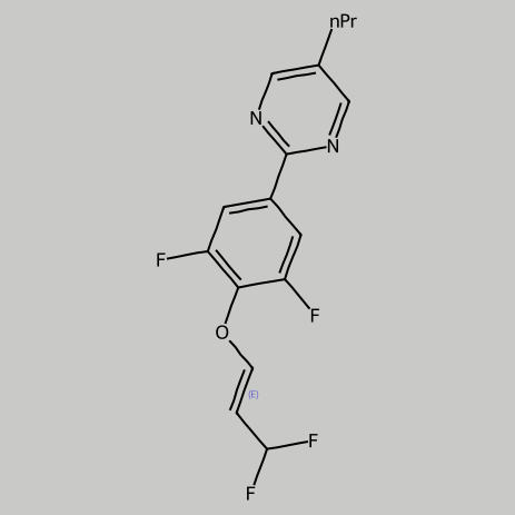 CCCc1cnc(-c2cc(F)c(O/C=C/C(F)F)c(F)c2)nc1